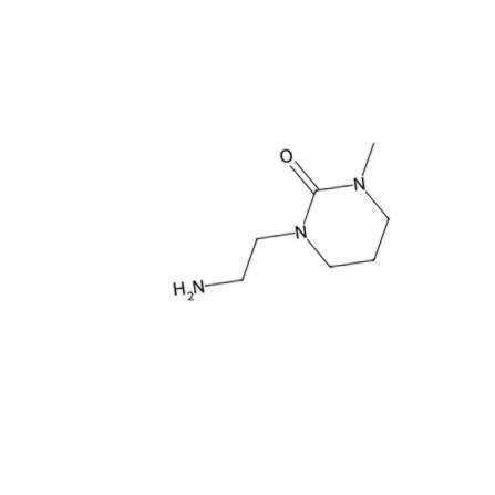 CN1CCCN(CCN)C1=O